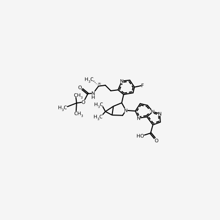 C[C@H](CCc1ncc(F)cc1C1C2C(CN1c1ccn3ncc(C(=O)O)c3n1)C2(C)C)NC(=O)OC(C)(C)C